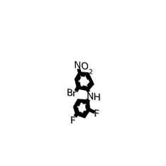 O=[N+]([O-])c1ccc(Nc2ccc(F)cc2F)c(Br)c1